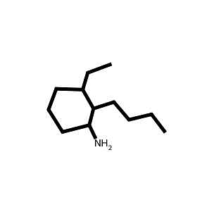 CCCCC1C(N)CCCC1CC